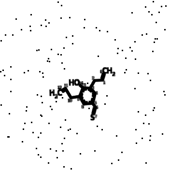 C=CCc1cc(C=S)cc(CC=C)c1O